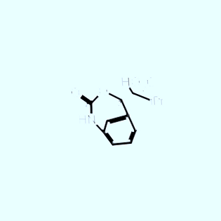 CC(C)CC(=O)O.O=C1Nc2cccc(c2)CO1